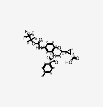 Cc1ccc(S(=O)(=O)N2C[C@H]([C@H]3C[C@@H]3C(=O)O)Oc3ccc(NC(=O)OC(C)(C)C(F)(F)F)cc32)cc1